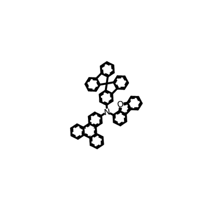 c1ccc2c(c1)-c1ccccc1C21c2ccccc2-c2cc(N(c3ccc4c5ccccc5c5ccccc5c4c3)c3cccc4c3oc3ccccc34)ccc21